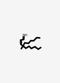 CCCCCCC(C)(/C=C\C=N)CCCCCC